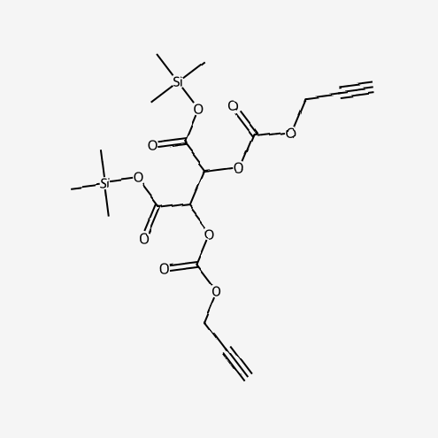 C#CCOC(=O)OC(C(=O)O[Si](C)(C)C)C(OC(=O)OCC#C)C(=O)O[Si](C)(C)C